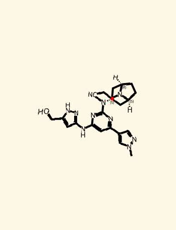 CN(c1nc(Nc2cc(CO)[nH]n2)cc(-c2cnn(C)c2)n1)[C@@H]1C[C@H]2CC[C@@H](C1)N2CCC#N